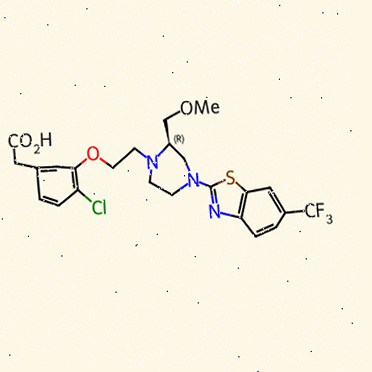 COC[C@H]1CN(c2nc3ccc(C(F)(F)F)cc3s2)CCN1CCOc1cc(CC(=O)O)ccc1Cl